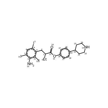 CCC(Cc1c(I)cc(I)c(N)c1I)C(=O)Oc1ccc(C2CCNCC2)cc1